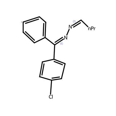 CCC/C=N\N=C(/c1cc[c]cc1)c1ccc(Cl)cc1